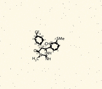 CSc1cccc([C@@]2(C)NC(=N)N(C)C(=O)[C@@H]2c2ccc(C(F)(F)F)cc2)c1